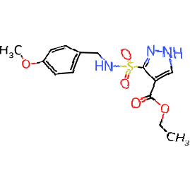 CCOC(=O)c1c[nH]nc1S(=O)(=O)NCc1ccc(OC)cc1